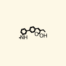 CCC(=Cc1ccc(-c2cccc(NC)c2)cc1)C(=O)O